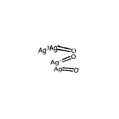 [Ag+3].[O]=[Ag-].[O]=[Ag-].[O]=[Ag-]